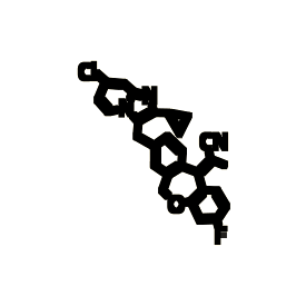 C/C(C#N)=C1/c2ccc(Cc3c(C4CC4)nc4cc(Cl)ccn34)cc2COc2cc(F)ccc21